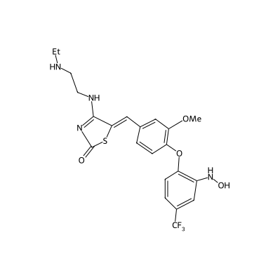 CCNCCNC1=NC(=O)S/C1=C\c1ccc(Oc2ccc(C(F)(F)F)cc2NO)c(OC)c1